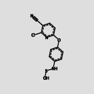 N#Cc1ccc(Oc2ccc(NSO)cc2)nc1Cl